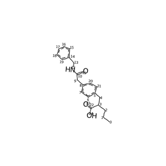 CCCC(Cc1ccc(CC(=O)NCc2ccccc2)cc1)C(=O)O